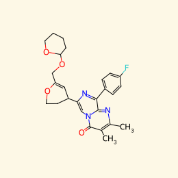 Cc1nc2c(-c3ccc(F)cc3)nc(C3C=C(COC4CCCCO4)OCC3)cn2c(=O)c1C